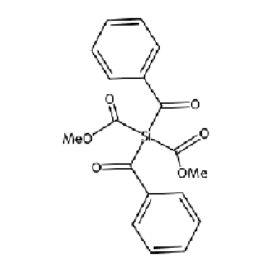 COC(=O)[Si](C(=O)OC)(C(=O)c1ccccc1)C(=O)c1ccccc1